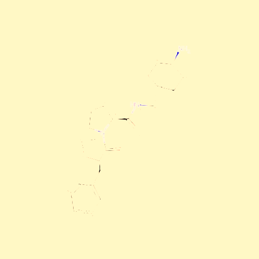 CCOC(=O)O[C@H](Cc1ccccc1)C(=O)N1CCC[C@H]1C(=O)NC[C@H]1CC[C@H](N)CC1